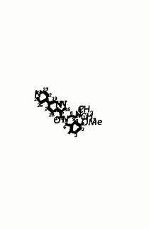 COc1cccc(CN(CCN(C)C)C(=O)c2cnn3cc(-c4ccncc4)ccc23)c1